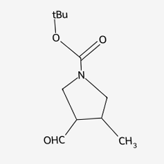 CC1CN(C(=O)OC(C)(C)C)CC1C=O